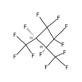 FC(F)(F)[C@@]1(F)C(F)(F)C(F)(F)[C@@]1(F)C(F)(F)F